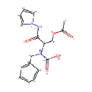 CC(=O)OCC(C(=O)Nn1cccc1)N(Cc1ccccc1)C(=O)O